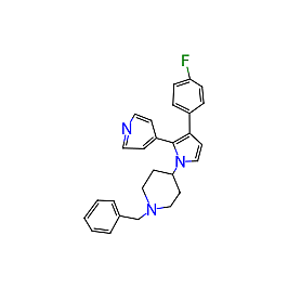 Fc1ccc(-c2ccn(C3CCN(Cc4ccccc4)CC3)c2-c2ccncc2)cc1